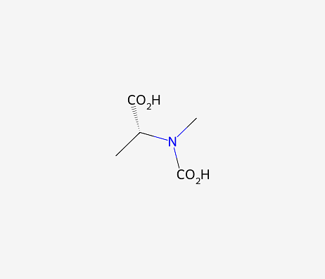 C[C@H](C(=O)O)N(C)C(=O)O